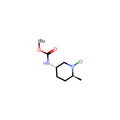 C[C@H]1CC[C@H](NC(=O)OC(C)(C)C)CN1Cl